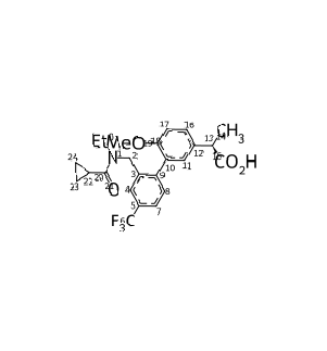 CCN(Cc1cc(C(F)(F)F)ccc1-c1cc([C@@H](C)C(=O)O)ccc1OC)C(=O)C1CC1